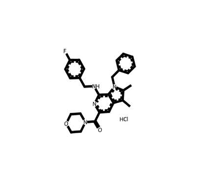 Cc1c(C)n(Cc2ccccc2)c2c(NCc3ccc(F)cc3)nc(C(=O)N3CCOCC3)cc12.Cl